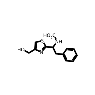 O=C(O)NC(Cc1ccccc1)c1nc(CO)cs1